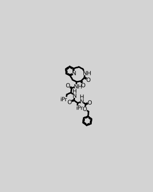 CC(C)CC(NC(=O)C(NC(=O)OCc1ccccc1)C(C)C)C(=O)NC1Cc2cccc(n2)CCNC(=O)C1=O